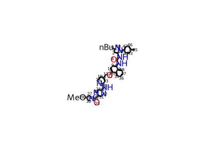 CCCCc1cc(NC(=O)Nc2ccc(OCc3ccnc(Nc4cnc(C(=O)N5CC(OC)C5)cn4)c3)c3ccccc23)n(-c2ccc(C)cc2)n1